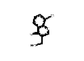 O=c1c(CO)coc2c(Cl)cccc12